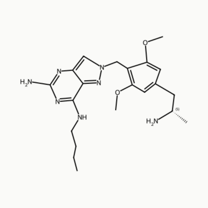 CCCCNc1nc(N)nc2cn(Cc3c(OC)cc(C[C@H](C)N)cc3OC)nc12